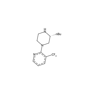 CCCC[C@@H]1CN(c2ncccc2C(F)(F)F)CCN1